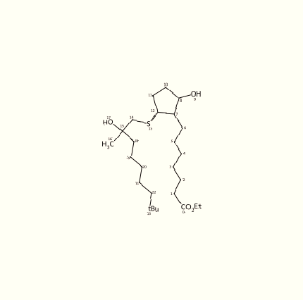 CCOC(=O)CCCCCCC1C(O)CCC1SCC(C)(O)CCCCCC(C)(C)C